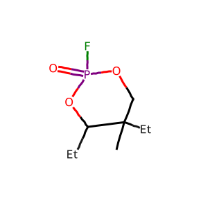 CCC1OP(=O)(F)OCC1(C)CC